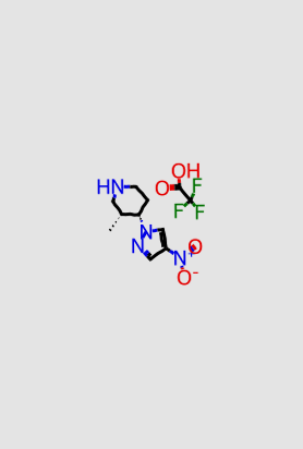 C[C@@H]1CNCC[C@@H]1n1cc([N+](=O)[O-])cn1.O=C(O)C(F)(F)F